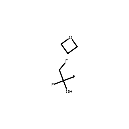 C1COC1.OC(F)(F)CF